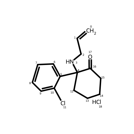 C=CCNC1(c2ccccc2Cl)CCCCC1=O.Cl